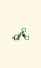 [Cl][Fe]([Cl])[Cl].[La]